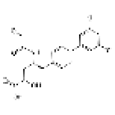 COCC(=O)N[C@@H](Cc1ccc(-c2cc(Cl)cc(Cl)c2)cc1)CC(O)C(=O)O